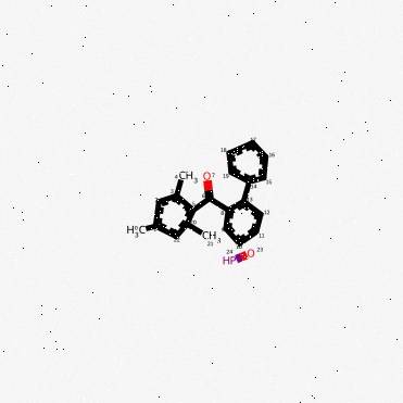 Cc1cc(C)c(C(=O)c2ccccc2-c2ccccc2)c(C)c1.O=P